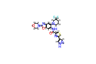 O=C(Nc1cc2oc(N3CCOCC3)nc2cc1N1CCCC(F)(F)C1)c1csc(-c2cn[nH]c2)n1